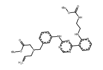 C=CCN(CC(=O)OC(C)(C)C)Cc1cccc(Nc2ncnc(-c3cccnc3NCCNC(=O)OC(C)(C)C)n2)c1